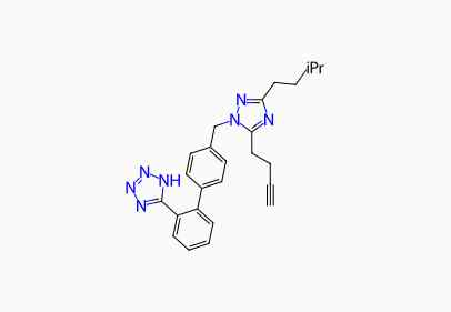 C#CCCc1nc(CCC(C)C)nn1Cc1ccc(-c2ccccc2-c2nnn[nH]2)cc1